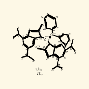 CC1=Cc2c(C(C)C)cc(C(C)C)cc2[CH]1[Zr+2]([CH]1C(C)=Cc2c(C(C)C)cc(C(C)C)cc21)=[Si](c1ccccc1)c1ccccc1.[Cl-].[Cl-]